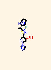 C=C(c1nnc(-c2cnc(-n3ccnc3)cc2O)s1)[C@@H]1CC2CCC(N2)[C@H]1F